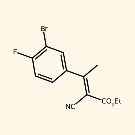 CCOC(=O)/C(C#N)=C(\C)c1ccc(F)c(Br)c1